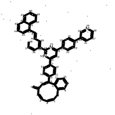 C=C1/C=C\C=C/Cc2ccccc2/C(c2ccc(-c3cc(-c4ccc(-c5cccnc5)cc4)nc(C(/C=C\C)=C/C=C/c4cccc5ccccc45)n3)cc2)=C\1